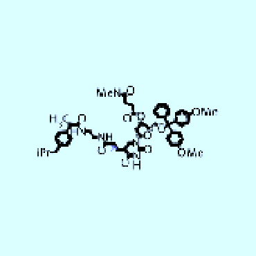 CNC(=O)CCC(=O)O[C@@H]1C[C@H](n2cc(/C=C/C(=O)NCCNC(=O)[C@@H](C)c3ccc(CC(C)C)cc3)c(=O)[nH]c2=O)O[C@@H]1COC(c1ccccc1)(c1ccc(OC)cc1)c1ccc(OC)cc1